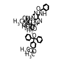 [2H][C@@]1(O)[C@@H](COC(C2=CCC(OC)(OC)C=C2)(c2ccccc2)c2ccccc2)O[C@@H](n2cnc3c(NC(=O)c4ccccc4)ncnc32)[C@@H]1O[Si](C)(C)C(C)(C)C